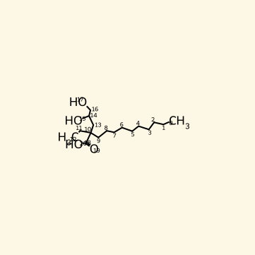 CCCCCCCCCCC(CC)(CC(O)CO)C(=O)O